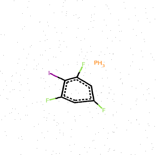 Fc1cc(F)c(I)c(F)c1.P